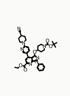 CCOC(=O)c1cc(-c2ccc(N3CCC(C#N)CC3)nc2)c2c(OC3CCN(C(=O)OC(C)(C)C)CC3)nn(-c3ccccc3)c2n1